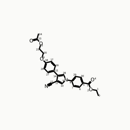 CCOC(=O)c1ccc(-n2cc(C#N)c(-c3ccc(OCCOC(C)=O)cc3)c2)cc1